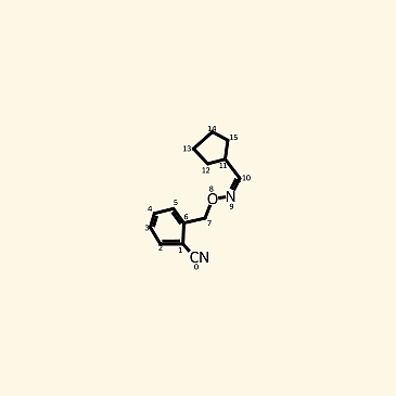 N#Cc1ccccc1CO/N=[C]\C1CCCC1